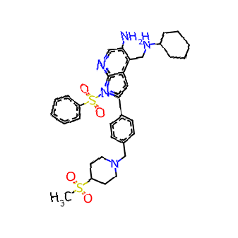 CS(=O)(=O)C1CCN(Cc2ccc(-c3cc4c(CNC5CCCCC5)c(N)cnc4n3S(=O)(=O)c3ccccc3)cc2)CC1